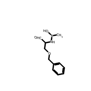 CB(O)NC(C=O)COCc1ccccc1